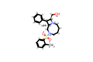 Cc1ccccc1S(=O)(=O)N1CCCCN2[C@H](CO)C(c3ccccc3)[C@@H]2C1